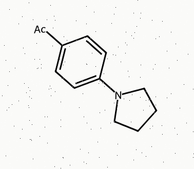 [CH2]C(=O)c1ccc(N2CCCC2)cc1